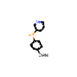 COc1ccc(Pc2cccnc2)cc1